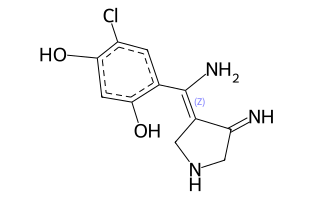 N=C1CNC/C1=C(/N)c1cc(Cl)c(O)cc1O